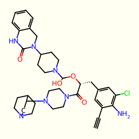 C#Cc1cc(C[C@@H](OC(O)N2CCC(N3Cc4ccccc4NC3=O)CC2)C(=O)N2CCN(C3CN4CCC3CC4)CC2)cc(Cl)c1N